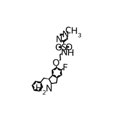 Cn1cnc(S(=O)(=O)NCCOc2cc3c(cc2F)C[C@@H](N)[C@H]3Cc2ccccc2)c1